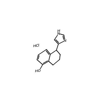 Cl.Oc1cccc2c1CCCC2c1c[nH]cn1